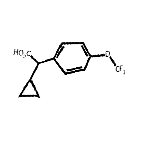 O=C(O)C(c1ccc(OC(F)(F)F)cc1)C1CC1